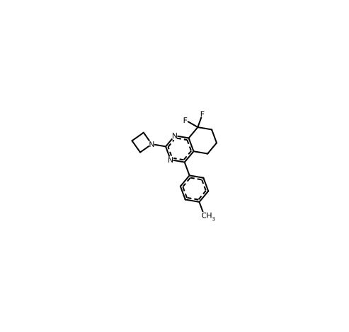 Cc1ccc(-c2nc(N3CCC3)nc3c2CCCC3(F)F)cc1